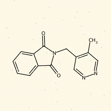 Cc1cnncc1CN1C(=O)c2ccccc2C1=O